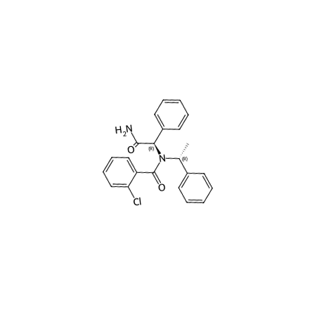 C[C@H](c1ccccc1)N(C(=O)c1ccccc1Cl)[C@@H](C(N)=O)c1ccccc1